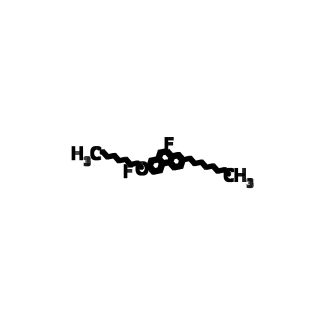 CCCCCCCCc1ccc2c(c1)c(F)cc1cc(OC[C@@H](F)CCCCCC)ccc12